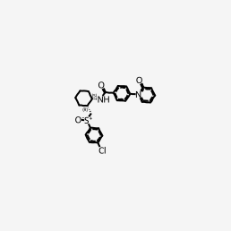 O=C(N[C@H]1CCCC[C@H]1C[S+]([O-])c1ccc(Cl)cc1)c1ccc(-n2ccccc2=O)cc1